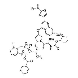 C=C[C@@H]1C[C@]1(NC(=O)[C@@H]1C[C@@H](Oc2cc(-c3csc(NC(C)C)n3)nc3cc(OC)ccc23)CN1C(=O)[C@@H](NC(=O)OC1CCCC1)C(C)(C)C)P(=O)(Cc1c(F)cccc1F)OCOC(=O)c1ccccc1